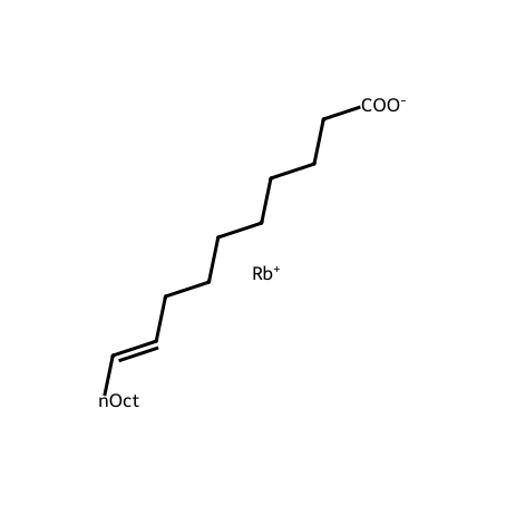 CCCCCCCCC=CCCCCCCCC(=O)[O-].[Rb+]